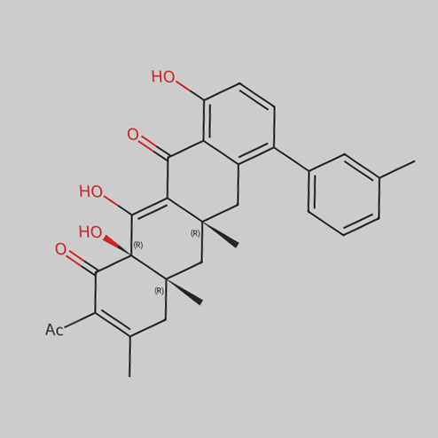 CC(=O)C1=C(C)C[C@@]2(C)C[C@@]3(C)Cc4c(-c5cccc(C)c5)ccc(O)c4C(=O)C3=C(O)[C@@]2(O)C1=O